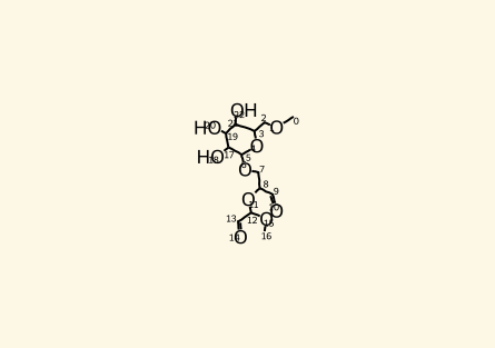 COCC1OC(OCC(C=O)OC(C=O)OC)C(O)C(O)C1O